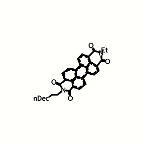 CCCCCCCCCCCCN1C(=O)c2ccc3c4ccc5c6c(ccc(c7ccc(c2c37)C1=O)c64)C(=O)N(CC)C5=O